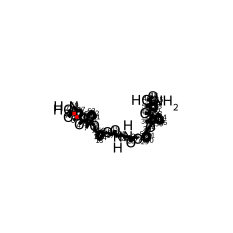 Cc1c(C(=O)c2c(C)c(OCc3cccc(OCC(=O)NCCNC(=O)COc4cccc(COc5c(C)c(C(=O)c6ccc(N)c(C(=O)O)c6C)n6ccccc56)c4)c3)c3ccccn23)ccc(N)c1C(=O)O